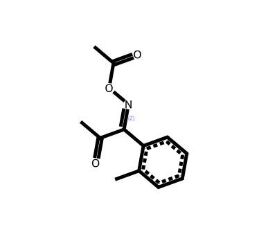 CC(=O)O/N=C(\C(C)=O)c1ccccc1C